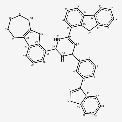 C1=C(c2cccc(C3N=C(c4cccc5c4Cc4ccccc4-5)NC(c4cccc5c4CC4=C5CCCCC4)N3)c2)c2ccccc2C1